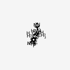 CC1(C)[C@H](NC(=O)c2cncnc2)C(C)(C)[C@H]1Oc1ccc(C#N)c(C(F)(F)F)c1